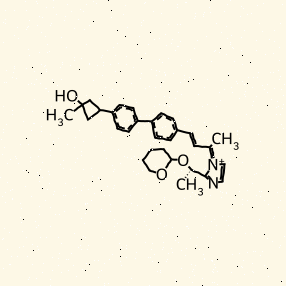 CC(/C=C/c1ccc(-c2ccc(C3CC(C)(O)C3)cc2)cc1)=[N+]1\C=CN=C1[C@H](C)OC1CCCCO1